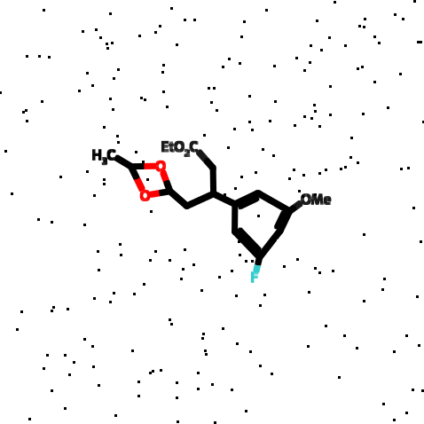 CCOC(=O)CC(CC1OC(C)O1)c1cc(F)cc(OC)c1